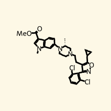 COC(=O)c1cn(C)c2cc(N3CCN(CCc4c(-c5c(Cl)cccc5Cl)noc4C4CC4)C[C@H]3C)ccc12